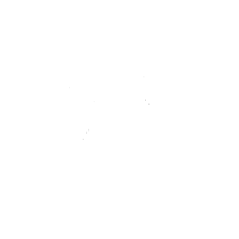 CCC(=O)O.CCCCN(C)C